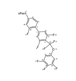 CCCCCc1ccc(-c2cc(F)c(C(F)(F)Oc3cc(F)c(F)c(F)c3)c(F)c2)c(F)c1